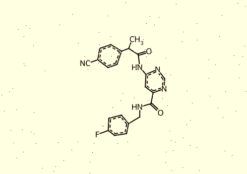 CC(C(=O)Nc1cc(C(=O)NCc2ccc(F)cc2)ncn1)c1ccc(C#N)cc1